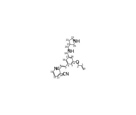 C=CCOc1cc(/C=C/c2ncccc2C#N)cc(CNCC2CCNC2)c1